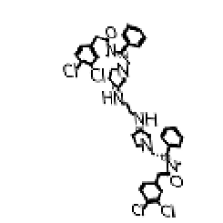 CN(C(=O)Cc1ccc(Cl)c(Cl)c1)[C@H](CN1CC[C@H](NCCN[C@H]2CCN(C[C@H](c3ccccc3)N(C)C(=O)Cc3ccc(Cl)c(Cl)c3)C2)C1)c1ccccc1